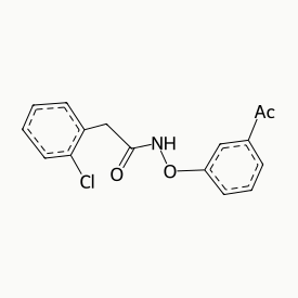 CC(=O)c1cccc(ONC(=O)Cc2ccccc2Cl)c1